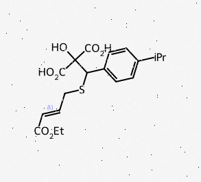 CCOC(=O)/C=C/CSC(c1ccc(C(C)C)cc1)C(O)(C(=O)O)C(=O)O